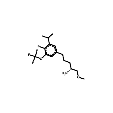 COC[C@H](N)CCCc1cc(OC(F)(F)F)c(F)c(C(C)C)c1